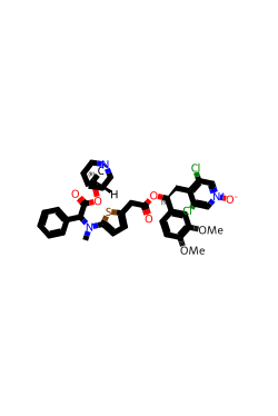 COc1ccc([C@H](Cc2c(Cl)c[n+]([O-])cc2Cl)OC(=O)Cc2ccc(N(C)C(C(=O)O[C@H]3CN4CCC3CC4)c3ccccc3)s2)cc1OC